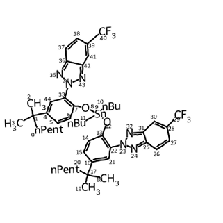 CCCCCC(C)(C)c1ccc([O][Sn]([CH2]CCC)([CH2]CCC)[O]c2ccc(C(C)(C)CCCCC)cc2-n2nc3ccc(C(F)(F)F)cc3n2)c(-n2nc3ccc(C(F)(F)F)cc3n2)c1